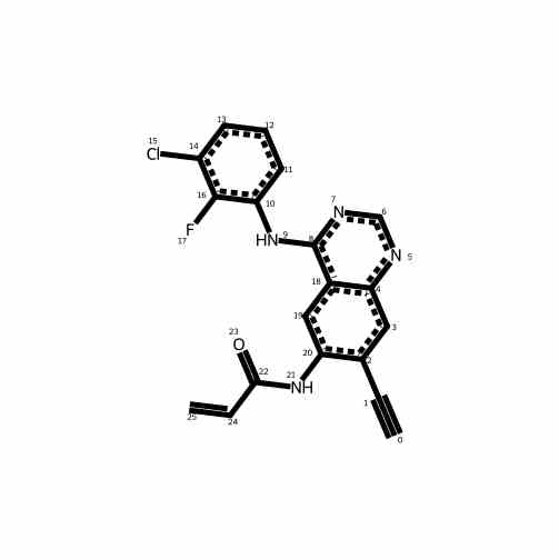 C#Cc1cc2ncnc(Nc3cccc(Cl)c3F)c2cc1NC(=O)C=C